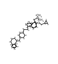 CN(C)Cc1c(OCC2CC2)ccc2c(CCC3CCN(CC4CCCc5sccc54)CC3)noc12